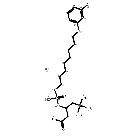 C[N+](C)(C)CC(CC(=O)O)OP(=O)(O)OCCCCCCCCOc1cccc(Cl)c1.[OH-]